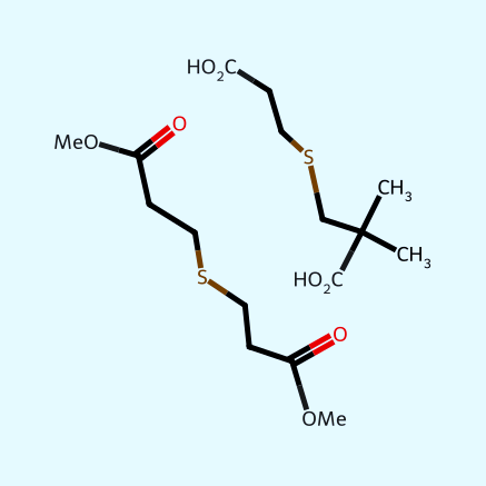 CC(C)(CSCCC(=O)O)C(=O)O.COC(=O)CCSCCC(=O)OC